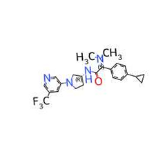 CN(C)[C@H](C(=O)N[C@@H]1CCN(c2cncc(C(F)(F)F)c2)C1)c1ccc(C2CC2)cc1